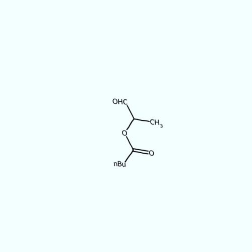 CCCCC(=O)OC(C)C=O